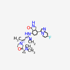 C=N/C(=C\C=C(/C)N1CCO[C@@H](C2(N(C)C)CC2)C1)Nc1ccc(-c2cnc3cc(F)ccn23)c2c1C(=O)NC2